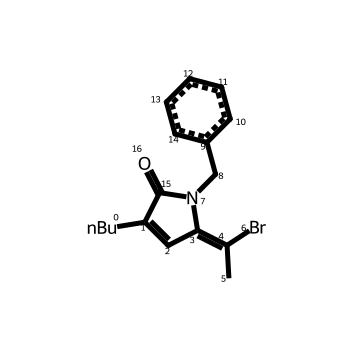 CCCCC1=C/C(=C(\C)Br)N(Cc2ccccc2)C1=O